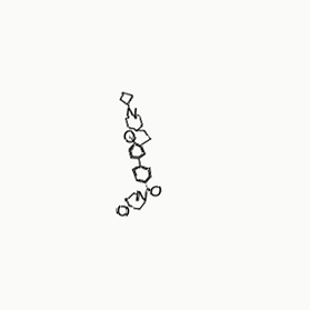 O=C1CCN(C(=O)c2ccc(-c3ccc4c(c3)CCC3(CCN(C5CCC5)CC3)O4)cc2)CC1